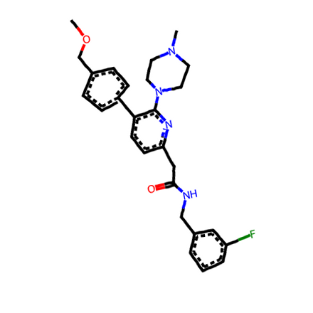 COCc1ccc(-c2ccc(CC(=O)NCc3cccc(F)c3)nc2N2CCN(C)CC2)cc1